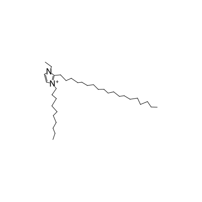 CCCCCCCCCCCCCCCCCCCc1n(CC)cc[n+]1CCCCCCCCCC